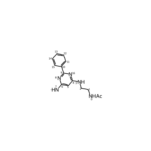 CC(=O)NCCNc1cc([NH])nc(-c2ccccc2)n1